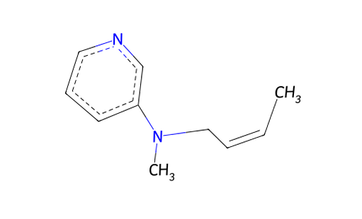 C/C=C\CN(C)c1cccnc1